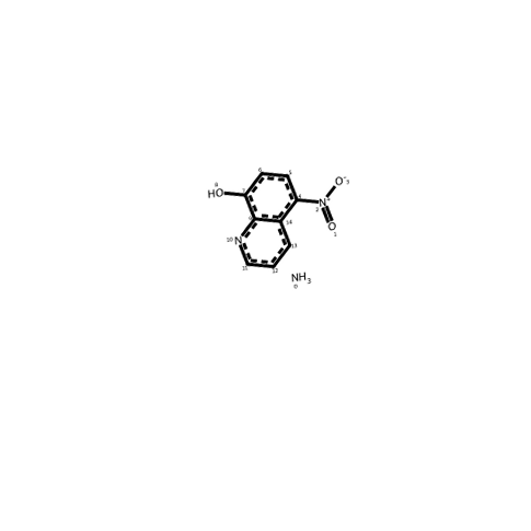 N.O=[N+]([O-])c1ccc(O)c2ncccc12